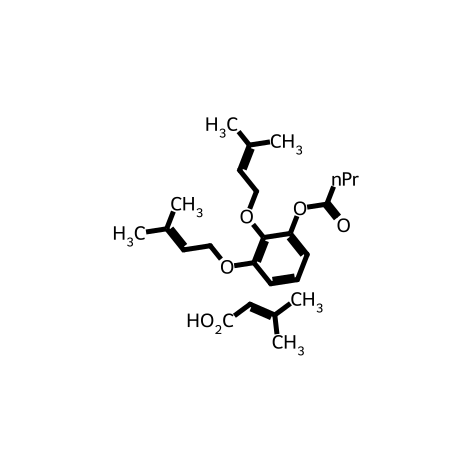 CC(C)=CC(=O)O.CCCC(=O)Oc1cccc(OCC=C(C)C)c1OCC=C(C)C